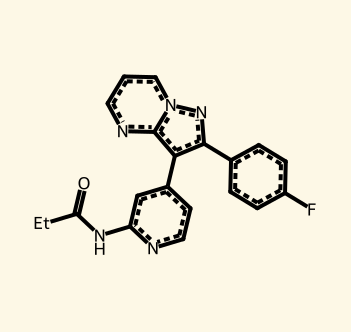 CCC(=O)Nc1cc(-c2c(-c3ccc(F)cc3)nn3cccnc23)ccn1